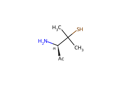 CC(=O)[C@@H](N)C(C)(C)S